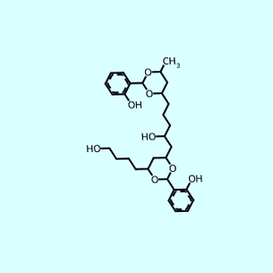 CC1CC(CCCC(O)CC2CC(CCCCO)OC(c3ccccc3O)O2)OC(c2ccccc2O)O1